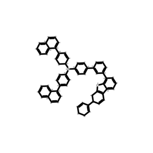 C1=CC(C2C=Cc3c(oc4c(-c5cccc(-c6ccc(N(c7ccc(-c8cccc9ccccc89)cc7)C7C=CC(c8cccc9ccccc89)=CC7)cc6)c5)cccc34)C2)=CCC1